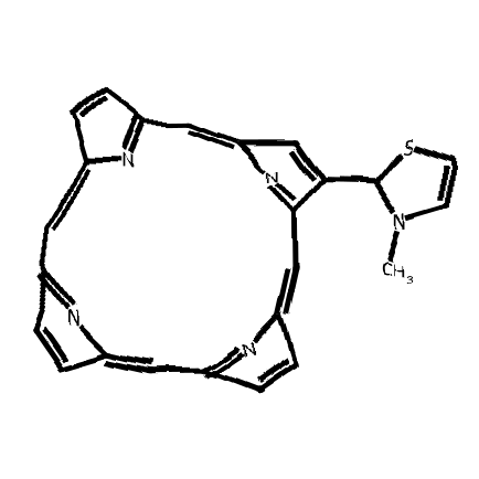 CN1C=CSC1C1=CC2=CC3=NC(=CC4=NC(=CC5=NC(=CC1=N2)C=C5)C=C4)C=C3